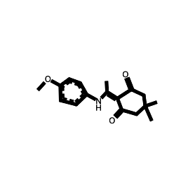 COc1ccc(NC(C)=C2C(=O)CC(C)(C)CC2=O)cc1